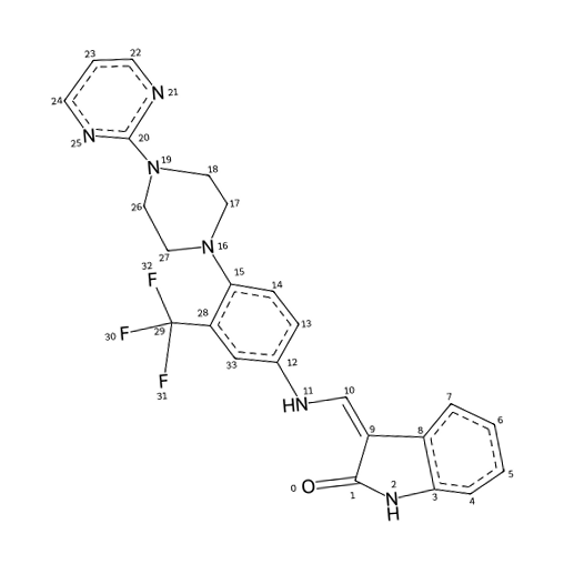 O=C1Nc2ccccc2C1=CNc1ccc(N2CCN(c3ncccn3)CC2)c(C(F)(F)F)c1